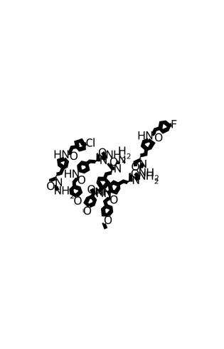 CCOc1ccc(CC(=O)Nc2ccc(CC[C@H]3COC(N)=N3)cc2)cc1.COc1ccc(C(=O)Nc2ccc(CC[C@H]3COC(N)=N3)cc2)cc1.COc1ccc(CC(=O)Nc2ccc(CC[C@H]3COC(N)=N3)cc2)cc1.NC1=N[C@@H](CCc2ccc(NC(=O)Cc3ccc(Cl)cc3)cc2)CO1.NC1=N[C@@H](CCc2ccc(NC(=O)Cc3ccc(F)cc3)cc2)CO1